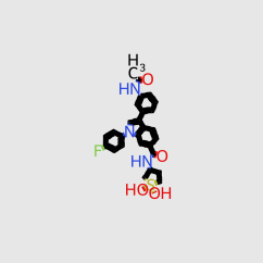 CC(=O)Nc1cccc(-c2cn(-c3ccc(F)cc3)c3cc(C(=O)NC4CCS(O)(O)C4)ccc23)c1